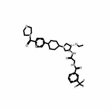 CCO[C@H]1CN(C2CCC(c3ccc(C(=O)N4CCOCC4)nc3)CC2)C[C@@H]1NC(=O)CNC(=O)c1cccc(C(F)(F)F)c1